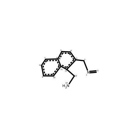 C=NCc1ccc2ccccc2c1CN